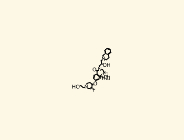 C[C@@H]1CN(CC(O)CN2CCc3ccccc3C2)C(=O)c2ccc(O[C@@H]3CCN(CCO)C[C@H]3F)cc2O1.Cl.Cl